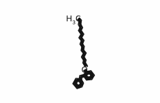 CCCCCCCCCCCCCCCCOc1ccccc1Cc1ccccc1